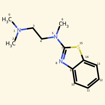 CN(C)CCN(C)c1nc2ccccc2s1